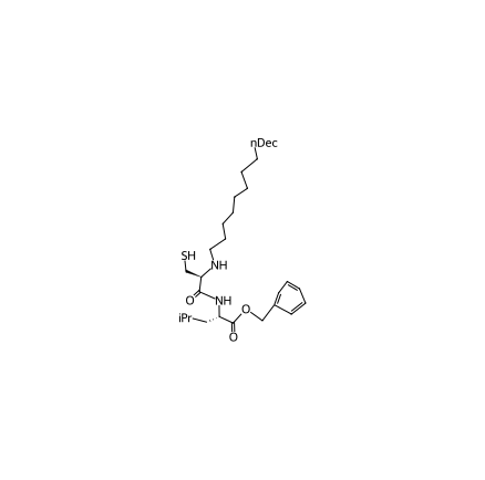 CCCCCCCCCCCCCCCCCCN[C@H](CS)C(=O)N[C@@H](CC(C)C)C(=O)OCc1ccccc1